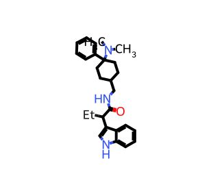 CCC(C(=O)NCC1CCC(c2ccccc2)(N(C)C)CC1)c1c[nH]c2ccccc12